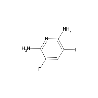 Nc1nc(N)c(I)cc1F